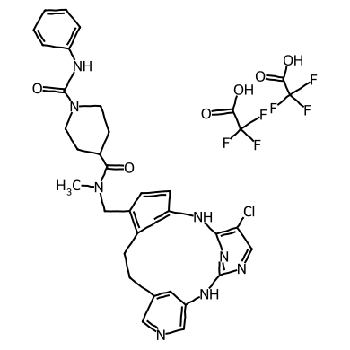 CN(Cc1ccc2cc1CCc1cncc(c1)Nc1ncc(Cl)c(n1)N2)C(=O)C1CCN(C(=O)Nc2ccccc2)CC1.O=C(O)C(F)(F)F.O=C(O)C(F)(F)F